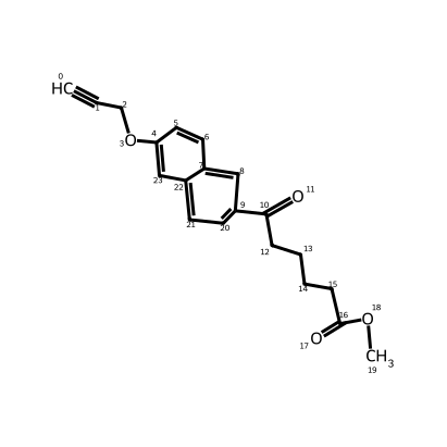 C#CCOc1ccc2cc(C(=O)CCCCC(=O)OC)ccc2c1